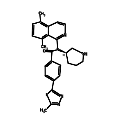 Cc1nnc(-c2ccc(C(=O)N(c3nccc4c(C)ccc(C)c34)[C@@H]3CCCNC3)cc2)s1